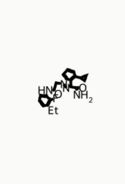 CCc1cccc(NC(=O)Cn2nc(C(N)=O)c3c(C4CC4)cccc32)c1F